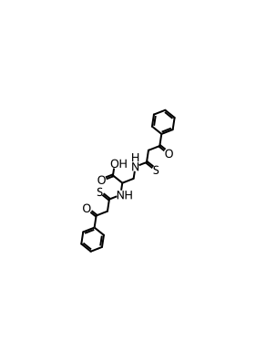 O=C(CC(=S)NCC(NC(=S)CC(=O)c1ccccc1)C(=O)O)c1ccccc1